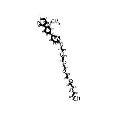 Cn1c2ccncc2c2ccc(-c3ccc(OCCOCCOCCOCCOCCOCCO)nc3)cc21